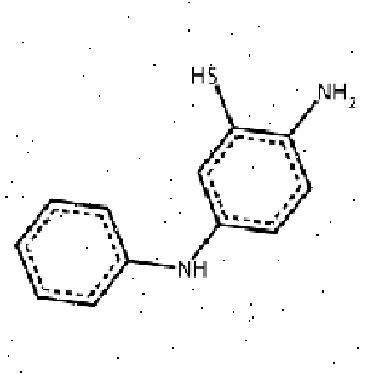 Nc1ccc(Nc2ccccc2)cc1S